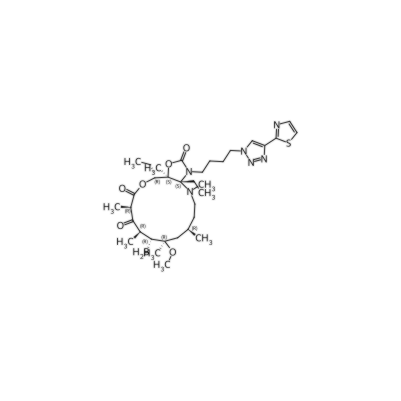 B[C@@H]1[C@@H](C)C(=O)[C@@H](C)C(=O)O[C@H](CC)[C@@]2(C)OC(=O)N(CCCCn3cc(-c4nccs4)nn3)[C@]2(CC)N(C)CC[C@@H](C)C[C@@]1(C)OC